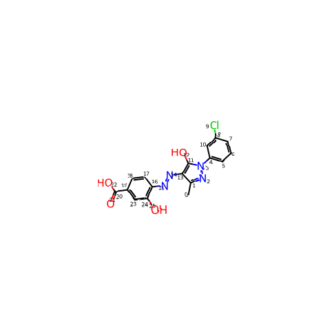 Cc1nn(-c2cccc(Cl)c2)c(O)c1/N=N/c1ccc(C(=O)O)cc1O